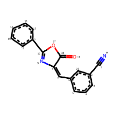 N#Cc1cccc(C=C2N=C(c3ccccc3)OC2=O)c1